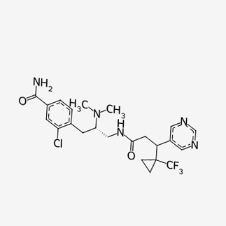 CN(C)[C@H](CNC(=O)CC(c1cncnc1)C1(C(F)(F)F)CC1)Cc1ccc(C(N)=O)cc1Cl